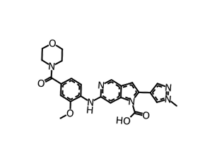 COc1cc(C(=O)N2CCOCC2)ccc1Nc1cc2c(cn1)cc(-c1cnn(C)c1)n2C(=O)O